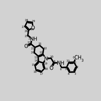 Cc1cccc(CNC(=O)Cn2c3c(c4ccccc42)CC(C(=O)NCc2ccco2)CC3)c1